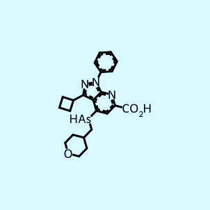 O=C(O)c1cc([AsH]CC2CCOCC2)c2c(C3CCC3)nn(-c3ccccc3)c2n1